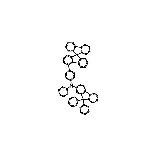 c1ccc(N(c2ccc(-c3cccc4c3-c3ccccc3C43c4ccccc4-c4ccccc43)cc2)c2ccc3c(c2)C(c2ccccc2)(c2ccccc2)c2ccccc2-3)cc1